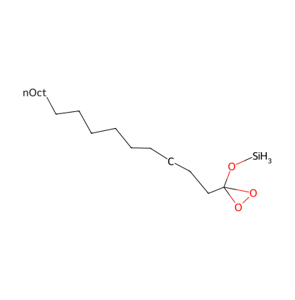 CCCCCCCCCCCCCCCCCC1(O[SiH3])OO1